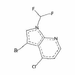 FC(F)n1cc(Br)c2c(Cl)ccnc21